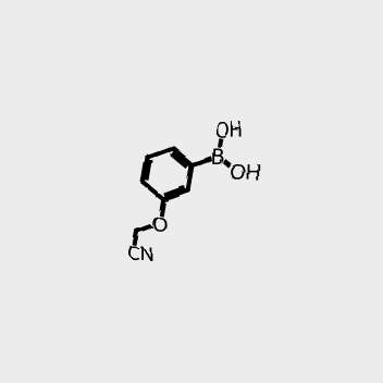 N#CCOc1cccc(B(O)O)c1